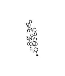 C[C@H](NC(=O)c1cscn1)[C@H](Oc1ccc(C(=O)O[C@H]2CCCN(C(=O)[C@H]3COC(=O)C3)C2)cc1)c1ccc(C2CC2)cc1